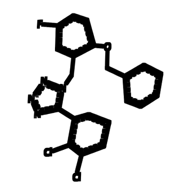 Fc1ccc(OCc2ccccc2)c(Cn2nnnc2-c2cccc(Cl)c2Cl)c1